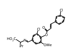 COc1cc(/C=N/C(C(=O)O)C(C)C)cc(Cl)c1OC(=O)/C=C/c1cccc(Cl)c1